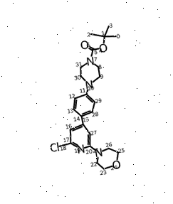 CC(C)(C)OC(=O)N1CCN(c2ccc(-c3cc(Cl)nc(N4CCOCC4)c3)cc2)CC1